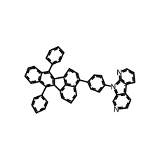 c1ccc(-c2c3c(c(-c4ccccc4)c4ccccc24)-c2ccc(-c4ccc(-n5c6cnccc6c6cccnc65)cc4)c4cccc-3c24)cc1